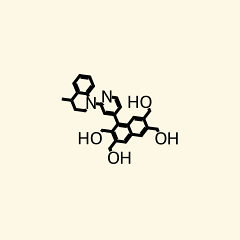 CC1CCN(c2cc(-c3c(CO)c(CO)cc4cc(CO)c(CO)cc34)ccn2)c2ccccc21